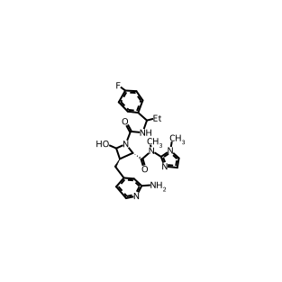 CCC(NC(=O)N1C(O)[C@H](Cc2ccnc(N)c2)[C@H]1C(=O)N(C)c1nccn1C)c1ccc(F)cc1